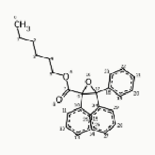 CCCCCCOC(=O)C1(c2ccccc2)OC1(c1ccccc1)c1ccccc1